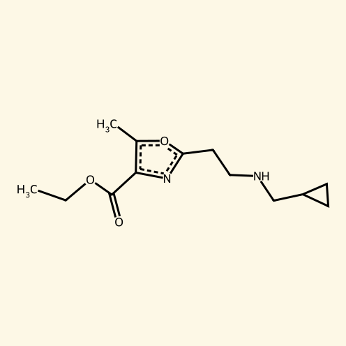 CCOC(=O)c1nc(CCNCC2CC2)oc1C